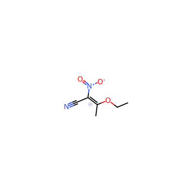 CCO/C(C)=C(/C#N)[N+](=O)[O-]